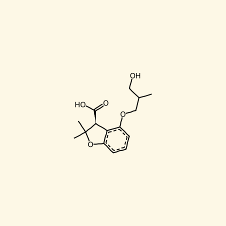 CC(CO)COc1cccc2c1[C@H](C(=O)O)C(C)(C)O2